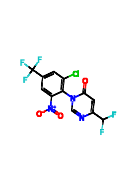 O=c1cc(C(F)F)ncn1-c1c(Cl)cc(C(F)(F)F)cc1[N+](=O)[O-]